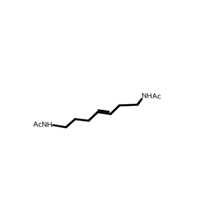 CC(=O)NCCC=CCCCNC(C)=O